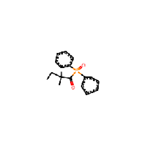 CCC(C)(C)C(=O)P(=O)(c1ccccc1)c1ccccc1